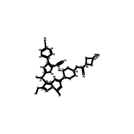 CCc1nn2c(C)cc(N3CCN(CC(=O)N4CC(O)C4)C[C@H]3C)nc2c1N(C)c1nc(-c2ccc(F)cc2)c(C#N)s1